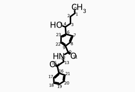 CCCCC(O)c1ccc(C(=O)NCC(=O)c2ccccc2)cc1